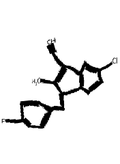 C#CC1=C(C)C(=Cc2ccc(F)cc2)c2ccc(Cl)cc21